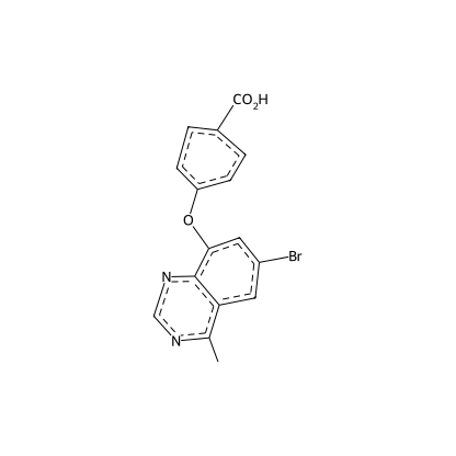 Cc1ncnc2c(Oc3ccc(C(=O)O)cc3)cc(Br)cc12